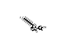 Cc1cc(N2C(=O)C3CN4CC(C(=O)C(F)(F)C(F)(F)C(F)(F)C(F)(F)C(F)(F)C(F)(F)C(F)(F)F)[N+]3(C4)C2=O)cnc1C#N